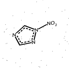 O=[N+]([O-])n1cncn1